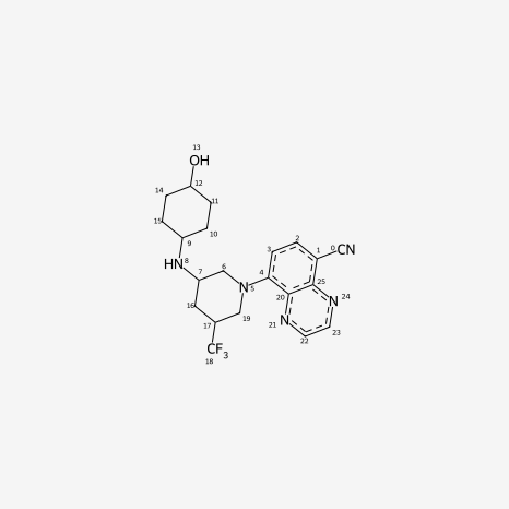 N#Cc1ccc(N2CC(NC3CCC(O)CC3)CC(C(F)(F)F)C2)c2nccnc12